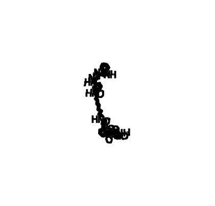 O=C(COc1cccc2c1C(=O)N(C1CCC(=O)NC1=O)C2=O)NCCCCCCCCC(=O)Nc1cccc(Nc2cc(-c3c[nH]c4ccccc34)ncn2)c1